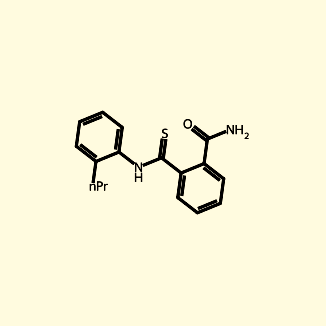 CCCc1ccccc1NC(=S)c1ccccc1C(N)=O